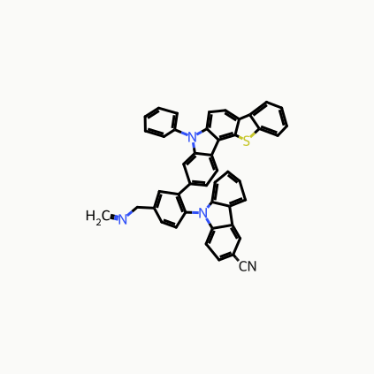 C=NCc1ccc(-n2c3ccccc3c3cc(C#N)ccc32)c(-c2ccc3c4c5sc6ccccc6c5ccc4n(-c4ccccc4)c3c2)c1